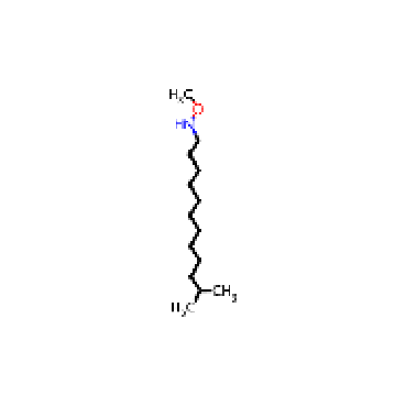 CONCCCCCCCCCCC(C)C